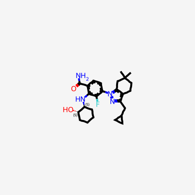 CC1(C)CCc2c(CC3CC3)nn(-c3ccc(C(N)=O)c(N[C@H]4CCCC[C@@H]4O)c3F)c2C1